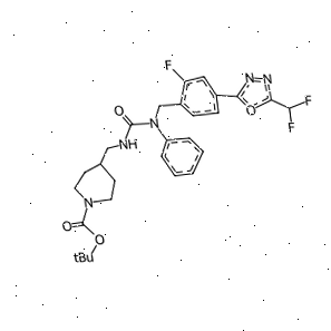 CC(C)(C)OC(=O)N1CCC(CNC(=O)N(Cc2ccc(-c3nnc(C(F)F)o3)cc2F)c2ccccc2)CC1